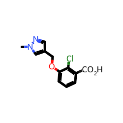 Cn1cc(COc2cccc(C(=O)O)c2Cl)cn1